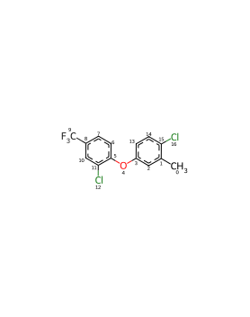 Cc1cc(Oc2ccc(C(F)(F)F)cc2Cl)ccc1Cl